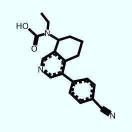 CCN(C(=O)O)C1CCCc2c(-c3ccc(C#N)cc3)cncc21